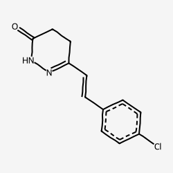 O=C1CCC(C=Cc2ccc(Cl)cc2)=NN1